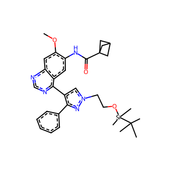 COc1cc2ncnc(-c3cn(CCO[Si](C)(C)C(C)(C)C)nc3-c3ccccc3)c2cc1NC(=O)C12CC(C1)C2